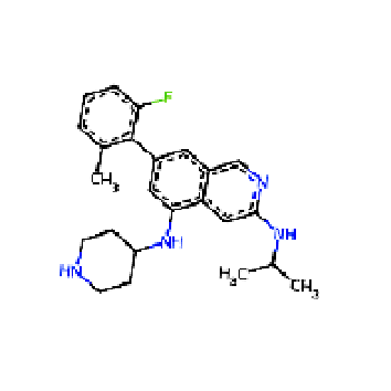 Cc1cccc(F)c1-c1cc(NC2CCNCC2)c2cc(NC(C)C)ncc2c1